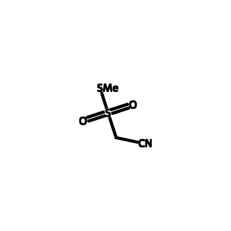 CSS(=O)(=O)CC#N